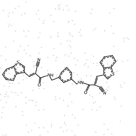 N#C/C(=C\c1csc2ccccc12)C(=O)NCc1cccc(CNC(=O)/C(C#N)=C/c2csc3ccccc23)c1